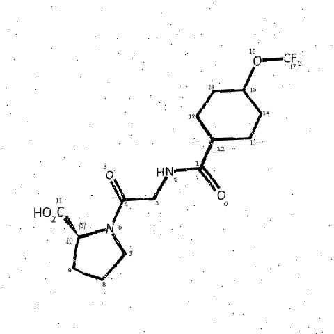 O=C(NCC(=O)N1CCC[C@H]1C(=O)O)C1CCC(OC(F)(F)F)CC1